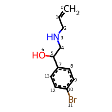 C=CCNCC(O)c1ccc(Br)cc1